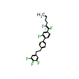 C=CCC/C(F)=C(\F)c1ccc(-c2ccc(CCc3cc(F)c(F)c(F)c3)cc2)c(F)c1